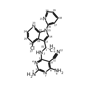 C[C@H](Nc1nc(N)nc(N)c1C#N)c1cn(-c2ccccn2)c2nccc(Cl)c12